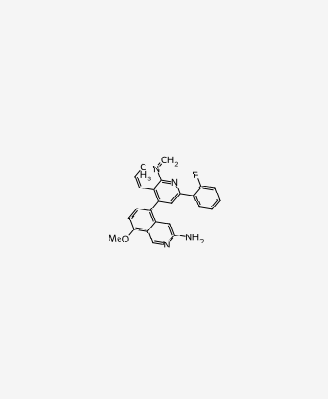 C=Nc1nc(-c2ccccc2F)cc(-c2ccc(OC)c3cnc(N)cc23)c1/C=C\C